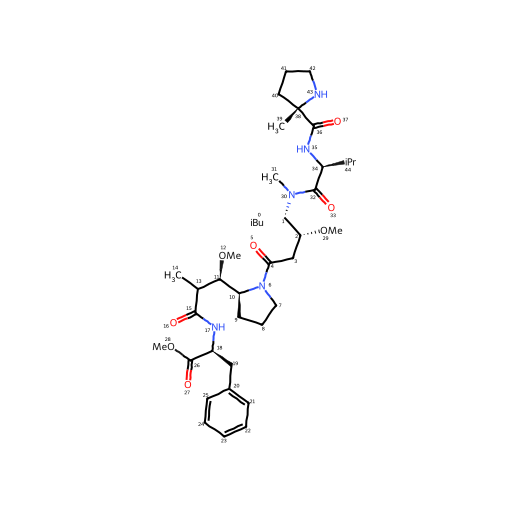 CC[C@H](C)[C@@H]([C@@H](CC(=O)N1CCC[C@H]1[C@H](OC)C(C)C(=O)N[C@@H](Cc1ccccc1)C(=O)OC)OC)N(C)C(=O)[C@@H](NC(=O)[C@]1(C)CCCN1)C(C)C